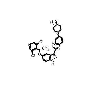 C[C@H](Oc1ccc2[nH]nc(-c3nc4ccc(N5CCN(C)CC5)cc4[nH]3)c2c1)c1c(Cl)cncc1Cl